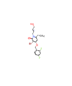 CC(=O)OCc1cc(OCc2ccc(F)cc2F)c(Br)c(=O)n1C/C=C/CO